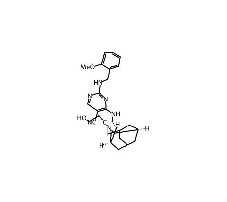 COc1ccccc1CNc1ncc(C#N)c(NC[C@@]23CC4C[C@H](C2)[C@@H](NCCCO)[C@@H](C4)C3)n1